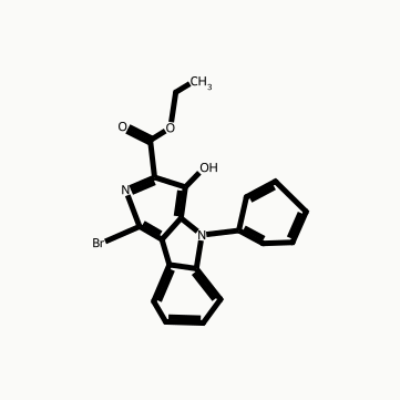 CCOC(=O)c1nc(Br)c2c3ccccc3n(-c3ccccc3)c2c1O